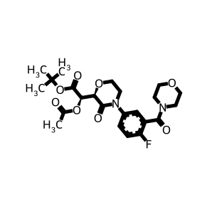 CC(=O)O[C@@H](C(=O)OC(C)(C)C)[C@H]1OCCN(c2ccc(F)c(C(=O)N3CCOCC3)c2)C1=O